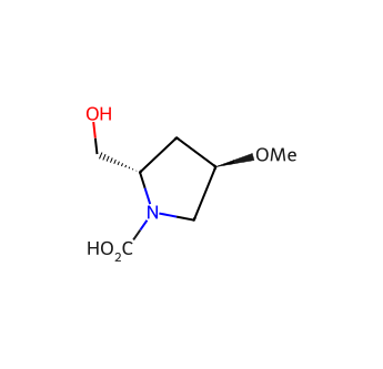 CO[C@@H]1C[C@@H](CO)N(C(=O)O)C1